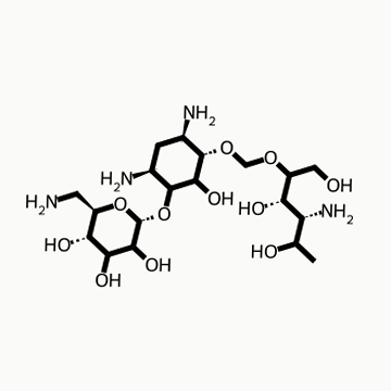 CC(O)[C@@H](N)[C@H](O)C(CO)OCO[C@@H]1C(O)C(O[C@H]2O[C@H](CN)[C@@H](O)C(O)C2O)[C@@H](N)C[C@H]1N